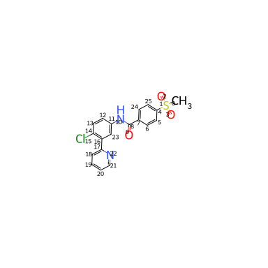 CS(=O)(=O)c1ccc(C(=O)Nc2ccc(Cl)c(-c3ccccn3)c2)cc1